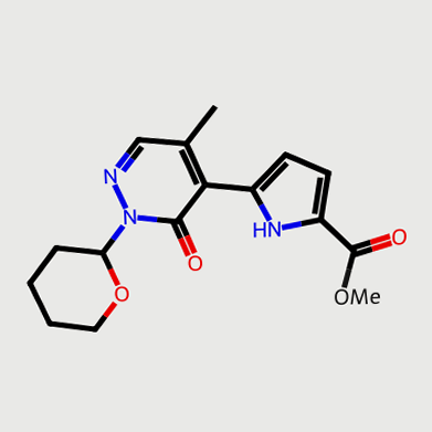 COC(=O)c1ccc(-c2c(C)cnn(C3CCCCO3)c2=O)[nH]1